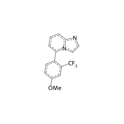 COc1ccc(-c2cccc3nccn23)c(C(F)(F)F)c1